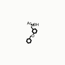 CC(=O)N(O)Cc1cccc(OCc2ccccc2)c1